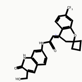 O=C(/C=C1\CC2(CCC2)Oc2cc(C(F)(F)F)ccc21)Nc1ccc2cc(CO)c(=O)[nH]c2c1